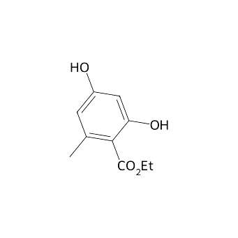 CCOC(=O)c1c(C)cc(O)cc1O